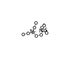 Cc1c(-c2cccc(-c3cccc(-c4nc5ccc6c#cccc6c5c5sc6ccccc6c45)c3)c2)cc(-c2ccc(-c3ccccc3)cc2)nc1-c1ccc(-c2ccccc2)cc1